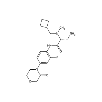 CN(CC1CCC1)[C@H](CN)C(=O)Nc1ccc(N2CCOCC2=O)cc1F